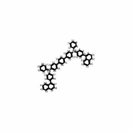 C1=C(c2ccc(N(c3ccccc3)c3ccc(-c4ccc(-c5ccc(N(c6ccccc6)c6ccc(-c7cccc8ccccc78)cc6)cc5)cc4)cc3)cc2)c2ccccc2CC1